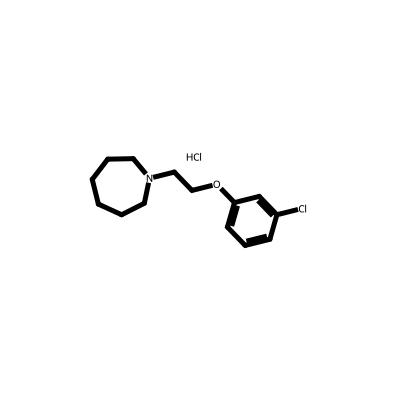 Cl.Clc1cccc(OCCN2CCCCCC2)c1